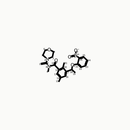 C=C(N1CCOCC1)N(C)C(=O)c1cc(C)cc(C(C)Oc2ccccc2[N+](=O)[O-])c1C